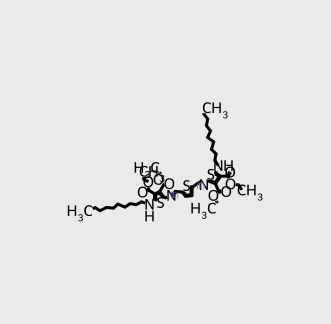 CCCCCCCCCCNc1sc(/N=C/c2ccc(/C=N/c3sc(NCCCCCCCCCC)c(C(=O)OCC)c3C(=O)OCC)s2)c(C(=O)OCC)c1C(=O)OCC